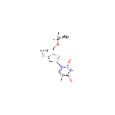 Cc1cn([C@H]2C[C@H](OC=O)[C@@H](CO[Si](C)(C)C(C)(C)C)O2)c(=O)[nH]c1=O